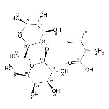 CC(C)[C@H](N)C(=O)O.OC[C@H]1O[C@@H](O[C@H]2[C@H](O)[C@@H](O)[C@H](O)O[C@@H]2CO)[C@H](O)[C@@H](O)[C@H]1O